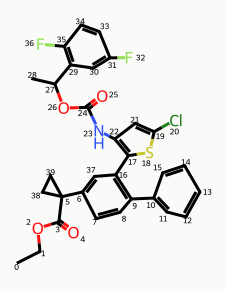 CCOC(=O)C1(c2ccc(-c3ccccc3)c(-c3sc(Cl)cc3NC(=O)OC(C)c3cc(F)ccc3F)c2)CC1